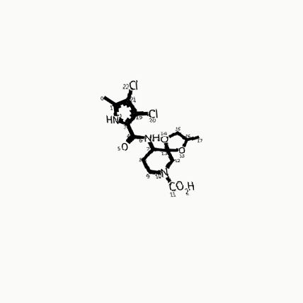 Cc1[nH]c(C(=O)NC2CCN(C(=O)O)CC23OCC(C)O3)c(Cl)c1Cl